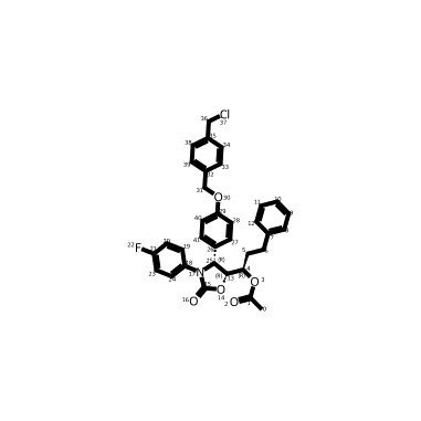 CC(=O)O[C@H](CCc1ccccc1)[C@@H]1OC(=O)N(c2ccc(F)cc2)[C@@H]1c1ccc(OCc2ccc(CCl)cc2)cc1